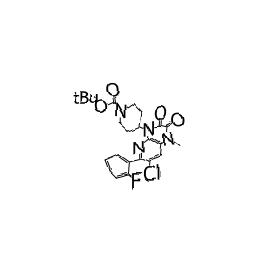 Cn1c(=O)c(=O)n(C2CCN(C(=O)OC(C)(C)C)CC2)c2nc(-c3ccccc3F)c(Cl)cc21